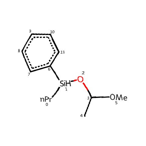 CCC[SiH](OC(C)OC)c1ccccc1